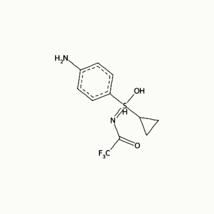 Nc1ccc([SH](O)(=NC(=O)C(F)(F)F)C2CC2)cc1